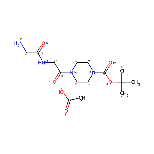 CC(=O)O.CC(C)(C)OC(=O)N1CCN(C(=O)CNC(=O)CN)CC1